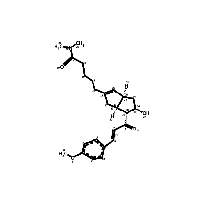 COc1ccc(/C=C/C(=O)[C@@H]2[C@H]3CC(CCCCC(=O)N(C)C)=C[C@H]3C[C@H]2O)cc1